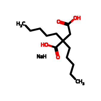 CCCCCC(CCCCC)(CC(=O)O)C(=O)O.[NaH]